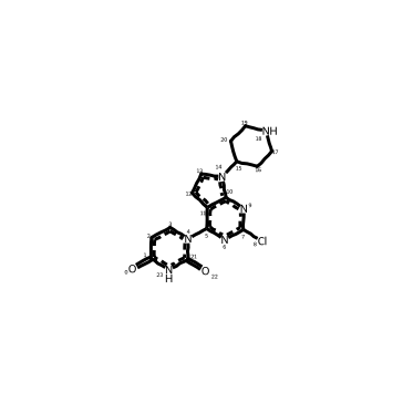 O=c1ccn(-c2nc(Cl)nc3c2ccn3C2CCNCC2)c(=O)[nH]1